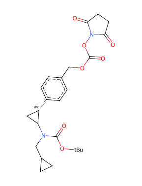 CC(C)(C)OC(=O)N(CC1CC1)C1C[C@@H]1c1ccc(COC(=O)ON2C(=O)CCC2=O)cc1